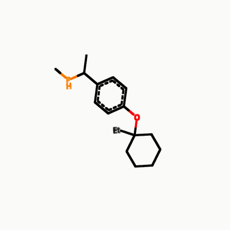 CCC1(Oc2ccc(C(C)PC)cc2)CCCCC1